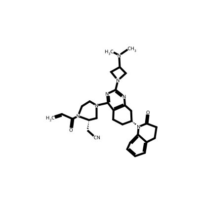 C=CC(=O)N1CCN(c2nc(N3CC(N(C)C)C3)nc3c2CC[C@@H](N2C(=O)CCc4ccccc42)C3)C[C@@H]1CC#N